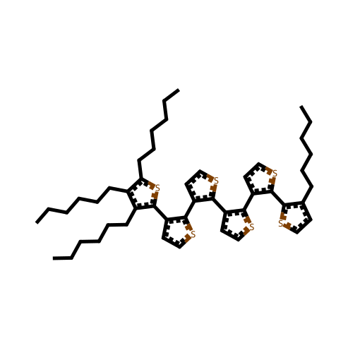 CCCCCCc1ccsc1-c1sccc1-c1sccc1-c1sccc1-c1sccc1-c1sc(CCCCCC)c(CCCCCC)c1CCCCCC